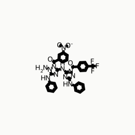 NN1C(Nc2ccccc2)N=C(Nc2nc(Nc3ccccc3)nn2C(=O)c2ccc(C(F)(F)F)cc2)N1C(=O)c1cccc([N+](=O)[O-])c1